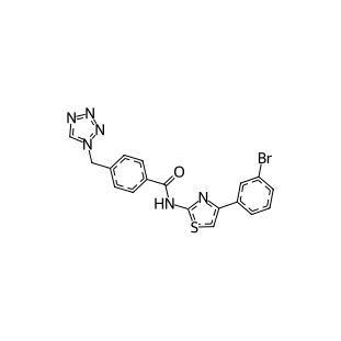 O=C(Nc1nc(-c2cccc(Br)c2)cs1)c1ccc(Cn2cnnn2)cc1